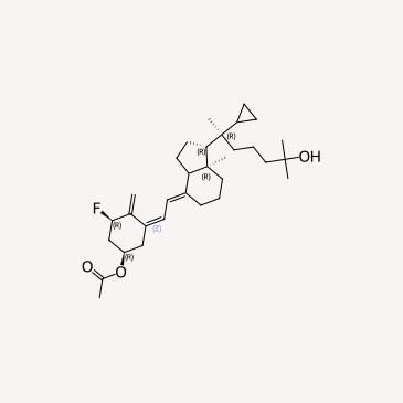 C=C1/C(=C\C=C2CCC[C@@]3(C)C2CC[C@@H]3[C@](C)(CCCC(C)(C)O)C2CC2)C[C@@H](OC(C)=O)C[C@H]1F